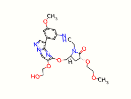 COCCO[C@@H]1C[C@H]2COc3nc4c(cnn4cc3OCCO)-c3cc(cc(OC)c3)NCCN2C1=O